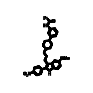 COc1ccc2[nH]c(-c3ccc([N+](=O)[O-])cc3)c(CCCN3CCC(c4cccc(NC(=O)C(C)C)c4)CC3)c2c1